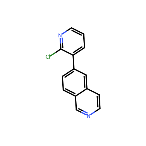 Clc1ncccc1-c1ccc2cnccc2c1